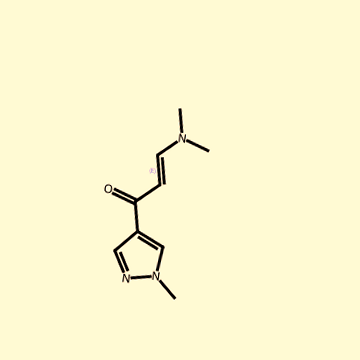 CN(C)/C=C/C(=O)c1cnn(C)c1